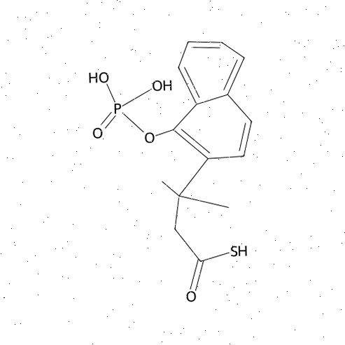 CC(C)(CC(=O)S)c1ccc2ccccc2c1OP(=O)(O)O